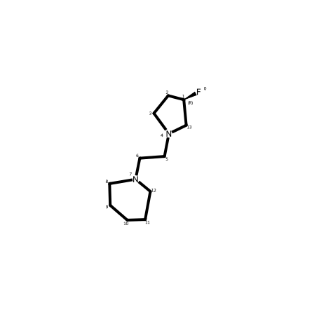 F[C@@H]1CCN(CCN2CCCCC2)C1